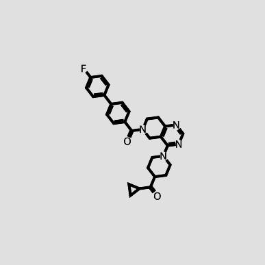 O=C(C1CC1)C1CCN(c2ncnc3c2CN(C(=O)c2ccc(-c4ccc(F)cc4)cc2)CC3)CC1